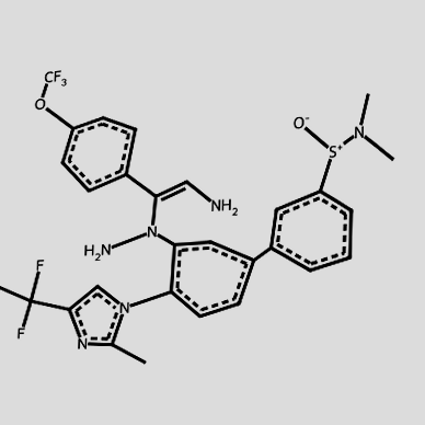 Cc1nc(C(C)(F)F)cn1-c1ccc(-c2cccc([S+]([O-])N(C)C)c2)cc1N(N)/C(=C\N)c1ccc(OC(F)(F)F)cc1